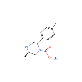 Cc1ccc(C2CN[C@H](C)CN2C(=O)OC(C)(C)C)cc1